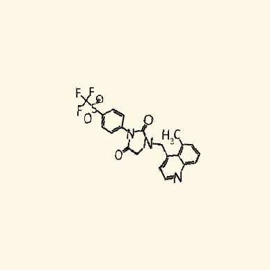 Cc1cccc2nccc(CN3CC(=O)N(c4ccc(S(=O)(=O)C(F)(F)F)cc4)C3=O)c12